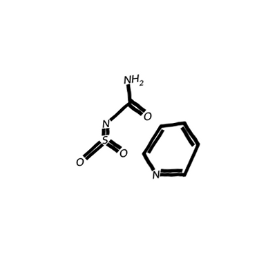 NC(=O)N=S(=O)=O.c1ccncc1